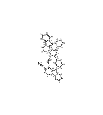 N#Cc1ccc2c3ccccc3n(-c3cccc(-c4cc(-c5ccccc5-n5c6ccccc6c6ccccc65)ccc4C#N)c3)c2c1